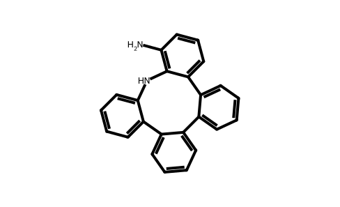 Nc1cccc2c1[nH]c1ccccc1c1ccccc1c1ccccc21